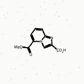 COC(=O)c1cccc2nc(C(=O)O)cn12